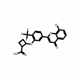 O=C(O)C1CCC1Oc1cc(-c2cc(=O)c3cccc(Cl)c3o2)ccc1C(F)(F)F